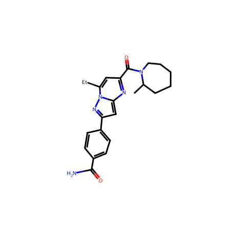 CCc1cc(C(=O)N2CCCCCC2C)nc2cc(-c3ccc(C(N)=O)cc3)nn12